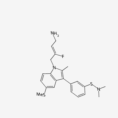 CSc1ccc2c(c1)c(-c1cccc(SN(C)C)c1)c(C)n2C/C(F)=C/CN